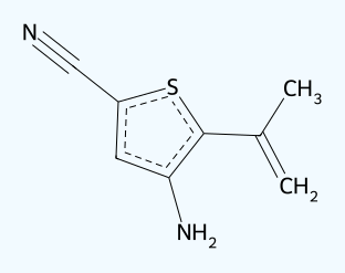 C=C(C)c1sc(C#N)cc1N